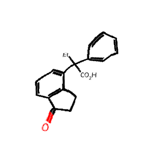 CCC(C(=O)O)(c1ccccc1)c1cccc2c1CCC2=O